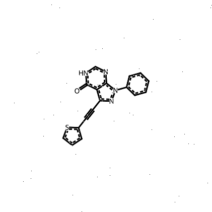 O=c1[nH]cnc2c1c(C#Cc1cccs1)nn2-c1ccccc1